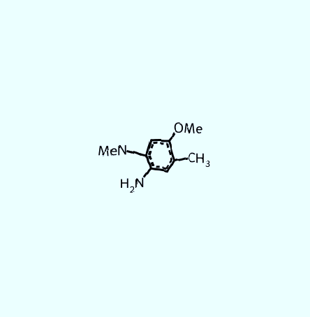 CNc1cc(OC)c(C)cc1N